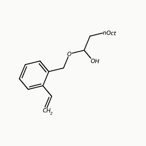 C=Cc1ccccc1COC(O)CCCCCCCCC